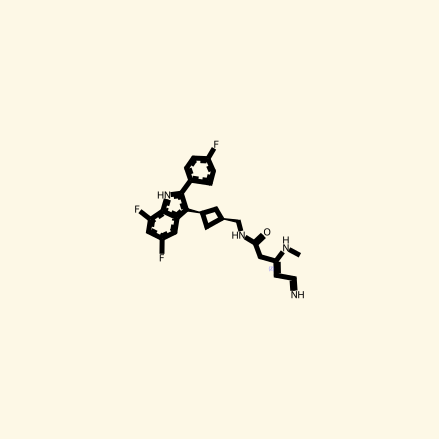 CN/C(=C\C=N)CC(=O)NC[C@H]1C[C@@H](c2c(-c3ccc(F)cc3)[nH]c3c(F)cc(F)cc32)C1